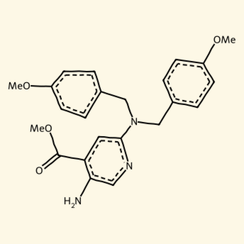 COC(=O)c1cc(N(Cc2ccc(OC)cc2)Cc2ccc(OC)cc2)ncc1N